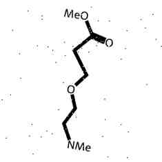 CNCCOCCC(=O)OC